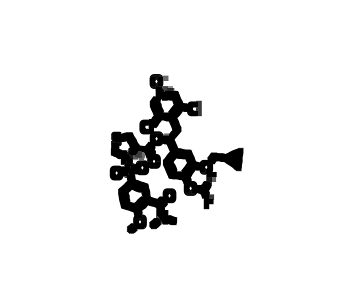 COc1ccc(S(=O)(=O)N2CSC[C@H]2C(=O)O[C@@H](Cc2c(Cl)c[n+]([O-])cc2Cl)c2ccc(OC(F)F)c(OCC3CC3)c2)cc1C(=O)N(C)C